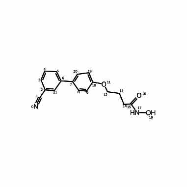 N#Cc1cccc(-c2ccc(OCCCC(=O)NO)cc2)c1